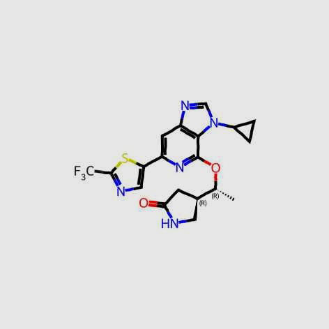 C[C@@H](Oc1nc(-c2cnc(C(F)(F)F)s2)cc2ncn(C3CC3)c12)[C@H]1CNC(=O)C1